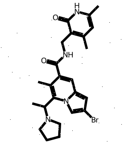 Cc1cc(C)c(CNC(=O)c2cc3cc(Br)cn3c(C(C)N3CCCC3)c2C)c(=O)[nH]1